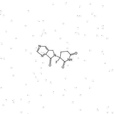 O=C1CCC(F)(N2Cc3cncnc3C2=O)C(=O)N1